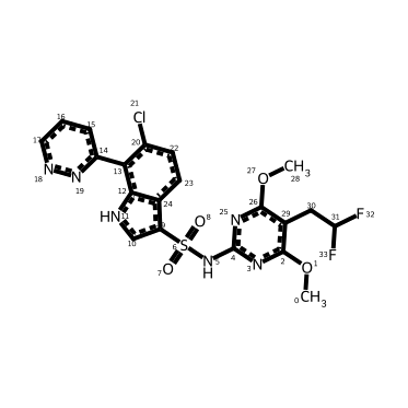 COc1nc(NS(=O)(=O)c2c[nH]c3c(-c4cccnn4)c(Cl)ccc23)nc(OC)c1CC(F)F